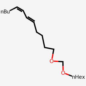 CCCC/C=C\C=C\CCCCOCOCCCCCC